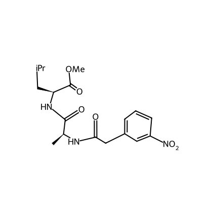 COC(=O)[C@H](CC(C)C)NC(=O)[C@H](C)NC(=O)Cc1cccc([N+](=O)[O-])c1